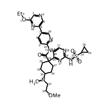 CCOc1cncc(-c2ccc(NC(=O)C3(c4ccnc(NS(=O)(=O)C5CC5)n4)CCC(N(C)CCOC)CC3)nc2)n1